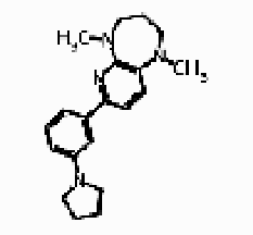 CN1CCCN(C)c2nc(-c3cccc(N4CCCC4)c3)ccc21